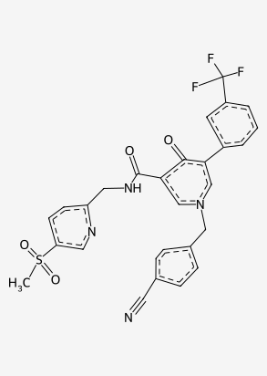 CS(=O)(=O)c1ccc(CNC(=O)c2cn(Cc3ccc(C#N)cc3)cc(-c3cccc(C(F)(F)F)c3)c2=O)nc1